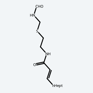 CCCCCCCC=CC(=O)NCCSCNC=O